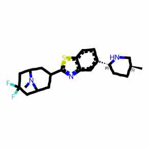 C[C@H]1CC[C@H](c2ccc3sc(C4CC5CC(F)(F)CC(C4)N5C)nc3c2)NC1